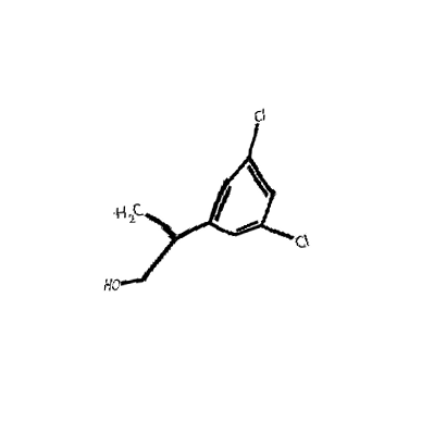 [CH2]C(CO)c1cc(Cl)cc(Cl)c1